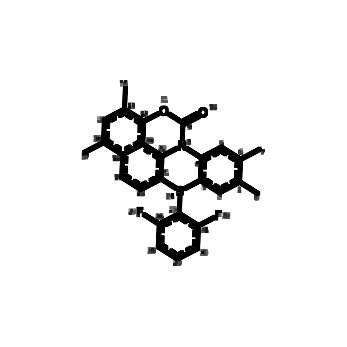 Cc1cc2c(cc1C)N1C(=O)Oc3c(C)cc(C)c4ccc(c1c34)B2c1c(F)cccc1F